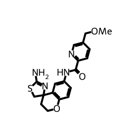 COCc1ccc(C(=O)Nc2ccc3c(c2)C2(CCO3)CSC(N)=N2)nc1